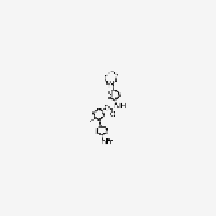 CCCc1ccc(-c2cc(OC(=O)Nc3ccc(N4CCCCCC4)nc3)ccc2C)cc1